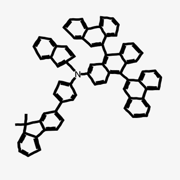 CC1(C)c2ccccc2-c2ccc(-c3ccc(N(c4ccc5ccccc5c4)c4ccc5c(-c6cc7ccccc7c7ccccc67)c6ccccc6c(-c6cc7ccccc7c7ccccc67)c5c4)cc3)cc21